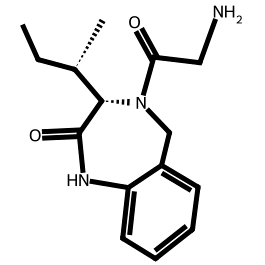 CC[C@H](C)[C@H]1C(=O)Nc2ccccc2CN1C(=O)CN